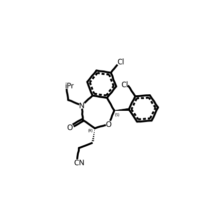 CC(C)CN1C(=O)[C@@H](CCC#N)O[C@H](c2ccccc2Cl)c2cc(Cl)ccc21